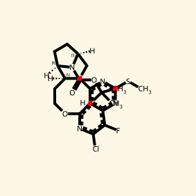 CSc1nc2c3c(nc(Cl)c(F)c3n1)OCC[C@H]1[C@H]3CC[C@@H](CN21)N3C(=O)OC(C)(C)C